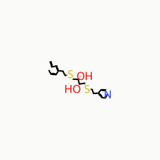 C=C/C=C(\C=C/C)CCSC[C@H](O)C(O)CSCCc1ccncc1